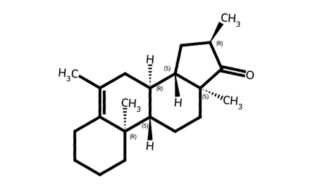 CC1=C2CCCC[C@]2(C)[C@H]2CC[C@]3(C)C(=O)[C@H](C)C[C@H]3[C@@H]2C1